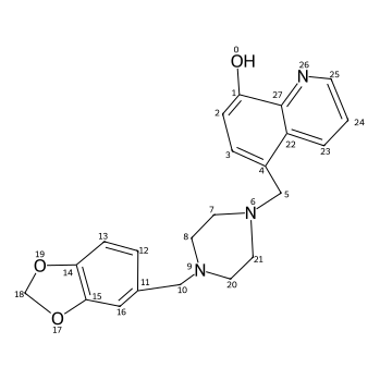 Oc1ccc(CN2CCN(Cc3ccc4c(c3)OCO4)CC2)c2cccnc12